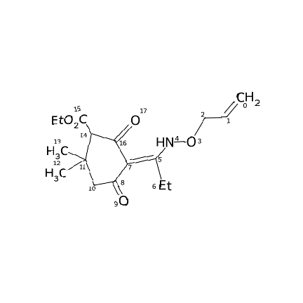 C=CCONC(CC)=C1C(=O)CC(C)(C)C(C(=O)OCC)C1=O